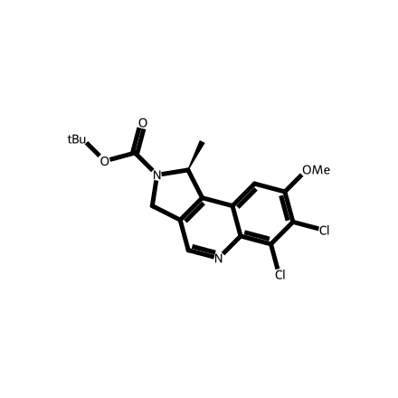 COc1cc2c3c(cnc2c(Cl)c1Cl)CN(C(=O)OC(C)(C)C)[C@H]3C